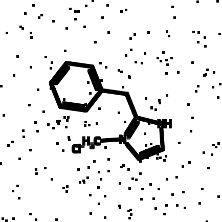 C[n+]1cc[nH]c1Cc1ccccc1.[Cl-]